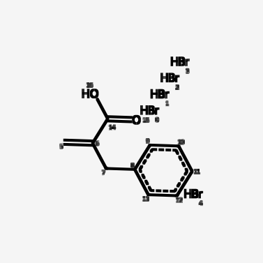 Br.Br.Br.Br.Br.C=C(Cc1ccccc1)C(=O)O